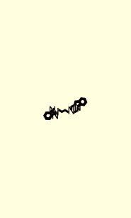 c1ccc2c(c1)cc1n2CCN(CCCCn2nc3ccccc3n2)C1